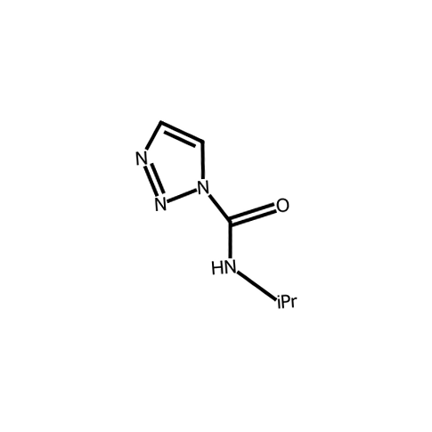 CC(C)NC(=O)n1ccnn1